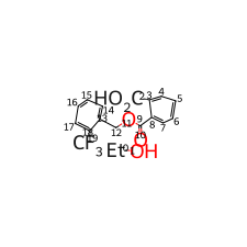 CCO.O=C(O)c1ccccc1C(=O)OCc1ccccc1C(F)(F)F